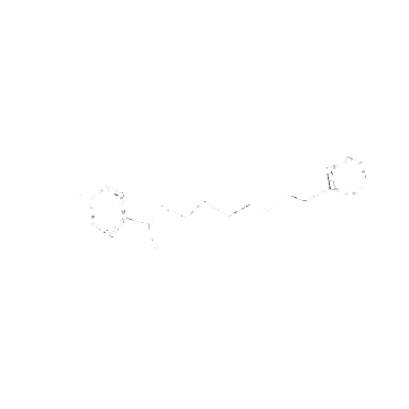 O=C(O)c1ccc(C(NCCCCCOCc2ccccc2)[N+](=O)[O-])cc1